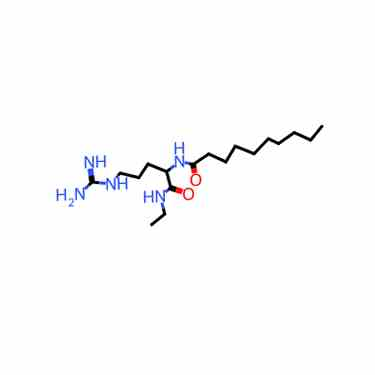 CCCCCCCCCC(=O)NC(CCCNC(=N)N)C(=O)NCC